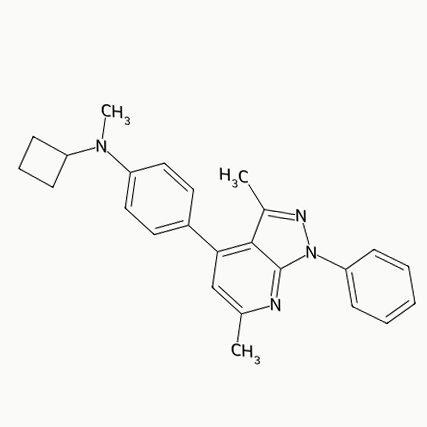 Cc1cc(-c2ccc(N(C)C3CCC3)cc2)c2c(C)nn(-c3ccccc3)c2n1